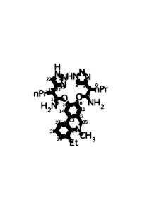 CCCC(c1c[nH]nn1)C(N)Oc1cc2c(cc1OC(N)C(CCC)c1c[nH]nn1)-c1cccc(CC)c1N(C)C2